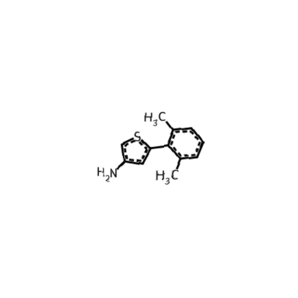 Cc1cccc(C)c1-c1cc(N)cs1